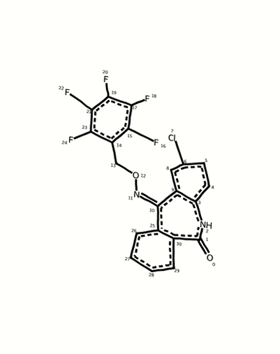 O=c1[nH]c2ccc(Cl)cc2c(=NOCc2c(F)c(F)c(F)c(F)c2F)c2ccccc12